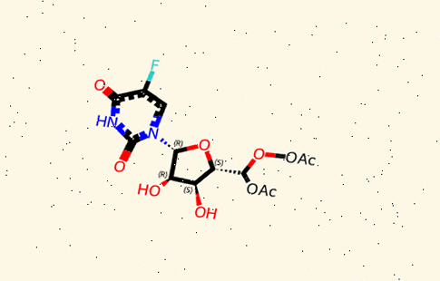 CC(=O)OOC(OC(C)=O)[C@H]1O[C@@H](n2cc(F)c(=O)[nH]c2=O)[C@H](O)[C@@H]1O